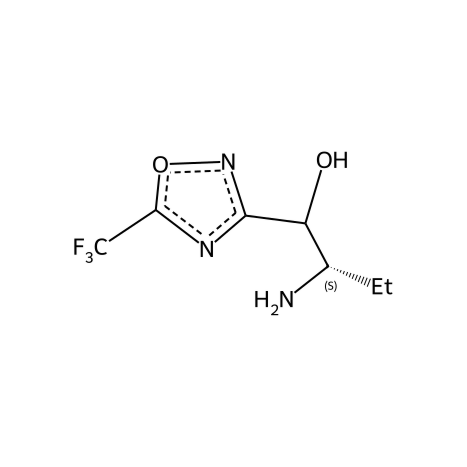 CC[C@H](N)C(O)c1noc(C(F)(F)F)n1